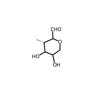 C[C@@H]1C(C=O)OCC(O)C1O